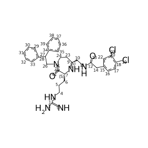 N=C(N)NCCC[C@@H]1N[C@H](CNC(=O)Cc2ccc(Cl)c(Cl)c2)CCN(CC(c2ccccc2)c2ccccc2)C1=O